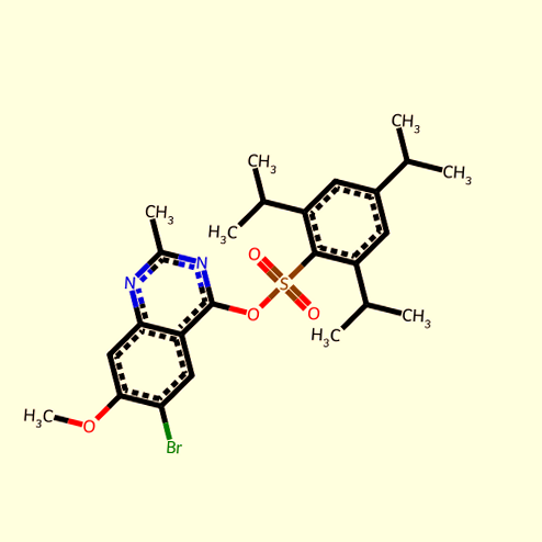 COc1cc2nc(C)nc(OS(=O)(=O)c3c(C(C)C)cc(C(C)C)cc3C(C)C)c2cc1Br